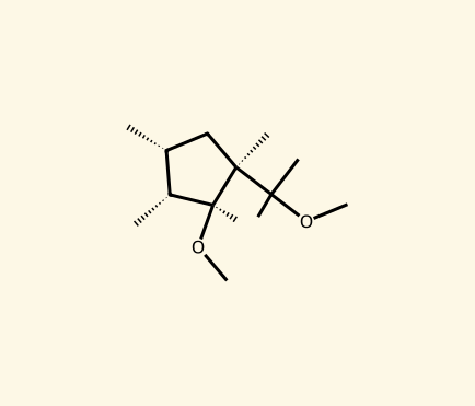 COC(C)(C)[C@]1(C)C[C@@H](C)[C@@H](C)[C@]1(C)OC